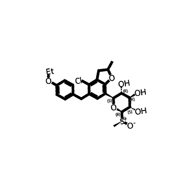 CCOc1ccc(Cc2cc([C@@H]3O[C@H]([S@+](C)[O-])[C@@H](O)[C@H](O)[C@H]3O)c3c(c2Cl)CC(C)O3)cc1